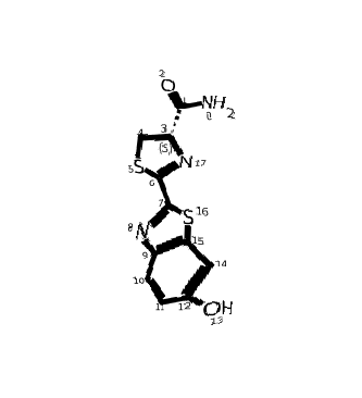 NC(=O)[C@H]1CSC(c2nc3ccc(O)cc3s2)=N1